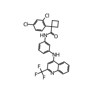 O=C(Nc1cccc(Nc2cc(C(F)(F)F)nc3ccccc23)c1)C1(c2ccc(Cl)cc2Cl)CCC1